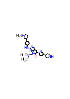 CSN(C)CCn1c(=O)c(-c2ccc(C3CCNCC3)cn2)cc2cnc(Nc3ccc(C4CCCN(C)C4)cc3)nc21